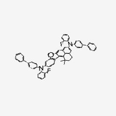 CC1(C)CCc2cc(N(c3ccc(-c4ccccc4)cc3)c3ccccc3F)cc3cc4oc5cc(N(c6ccc(-c7ccccc7)cc6)c6ccccc6F)ccc5c4c1c23